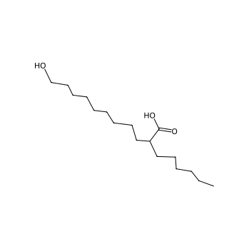 CCCCCCC(CCCCCCCCCO)C(=O)O